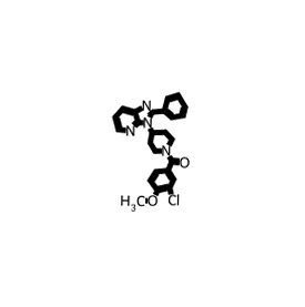 COc1ccc(C(=O)N2CCC(n3c(-c4ccccc4)nc4cccnc43)CC2)cc1Cl